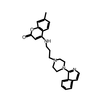 Cc1ccc2c(NCCCN3CCN(c4nccc5ccccc45)CC3)cc(=O)oc2c1